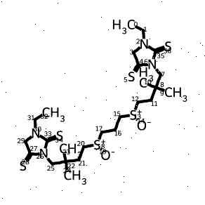 CCN1CC(=S)N(CC(C)(C)CC[S+]([O-])CCC[S+]([O-])CCC(C)(C)CN2C(=S)CN(CC)C2=S)C1=S